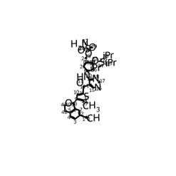 C#Cc1ccc2c(c1)[C@H](c1cc(C(=O)c3cncnc3N[C@@H]3C[C@H](COS(N)(=O)=O)[C@@H](O[Si](C(C)C)(C(C)C)C(C)C)C3)sc1C)OCC2